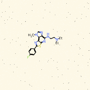 CCN(CC)CCNc1nc2sc(-c3ccc(F)cc3)nc2c2c1ncn2C